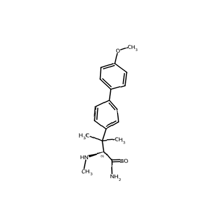 CN[C@H](C(N)=O)C(C)(C)c1ccc(-c2ccc(OC)cc2)cc1